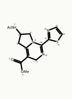 COC(=O)C1=C2CC(NC(C)=O)CN2C(c2nccs2)=NC1